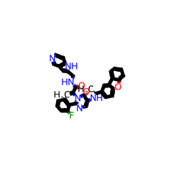 C=C(C(=O)NCc1cc2cnccc2[nH]1)n1c(-c2ccccc2F)ncc(N[C@H](C)c2ccc3oc4ccccc4c3c2)c1=O